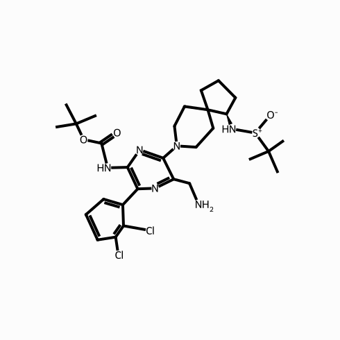 CC(C)(C)OC(=O)Nc1nc(N2CCC3(CCC[C@H]3N[S+]([O-])C(C)(C)C)CC2)c(CN)nc1-c1cccc(Cl)c1Cl